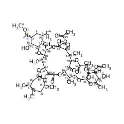 CO/N=C1\C[C@@H](C)O[C@@H](O[C@@H]2[C@@H](C)[C@H](O[C@H]3C[C@H](C)N(C)C[C@H](C)O3)[C@@H](C)C(=O)O[C@H]([C@@H](C)CO[C@@H]3O[C@H](C)[C@@H](O)[C@@H](OC)[C@H]3OC)[C@H](C)[C@@H](OC(=O)CC(C)C)[C@@H](C)C(=O)[C@@](C)(OC(C)=O)C[C@@H]2C)[C@@H]1O